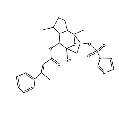 C/C(=C\C(=O)OC1C2C(C)CCC2C2(C)OC1(C(C)C)CC2OS(=O)(=O)n1ccnc1)c1ccccc1